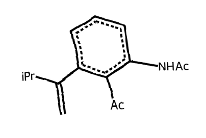 C=C(c1cccc(NC(C)=O)c1C(C)=O)C(C)C